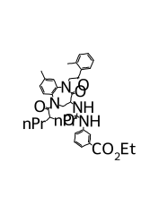 CCCC(CCC)C(=O)N1CC(NC(=O)Nc2cccc(C(=O)OCC)c2)C(=O)N(CC(=O)c2ccccc2C)c2cc(C)ccc21